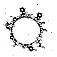 CCCC[C@H]1C(=O)N(C)[C@@H](CCCC)C(=O)N[C@@H](C)C(=O)N[C@H](C(=O)NCC(N)=O)CSCC(=O)N[C@@H](Cc2ccc(O)cc2)c2nnnn2[C@@H](C)C(=O)C[C@@H](CC(=O)O)C(=O)N2CCC[C@H]2C(=O)C[C@@H](Cc2c[nH]cn2)C(=O)N[C@@H](CCC(N)=O)C(=O)N2C[C@H](O)C[C@H]2C(=O)N[C@@H](Cc2c[nH]c3ccccc23)C(=O)N[C@@H](CO)C(=O)N[C@@H](Cc2csc3ccccc23)C(=O)N1C